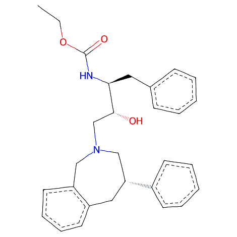 CCOC(=O)N[C@@H](Cc1ccccc1)[C@H](O)CN1Cc2ccccc2C[C@@H](c2ccccc2)C1